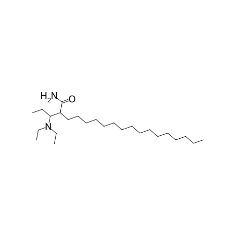 CCCCCCCCCCCCCCCCC(C(N)=O)C(CC)N(CC)CC